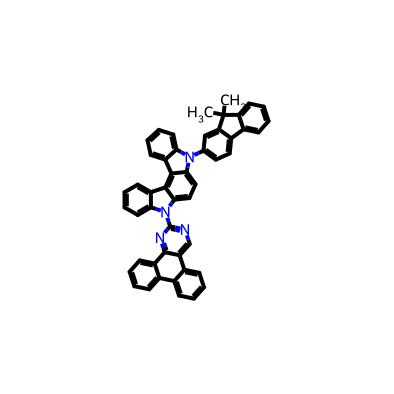 CC1(C)c2ccccc2-c2ccc(-n3c4ccccc4c4c5c6ccccc6n(-c6ncc7c8ccccc8c8ccccc8c7n6)c5ccc43)cc21